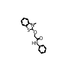 CN1c2ccccc2SC1OCC(=O)Nc1ccccc1